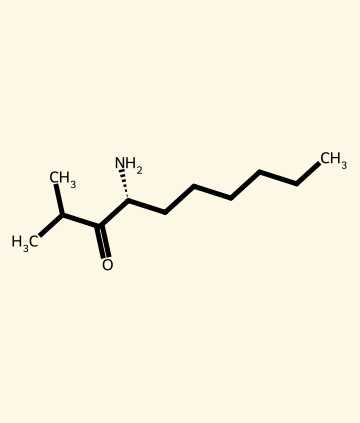 CCCCCC[C@@H](N)C(=O)C(C)C